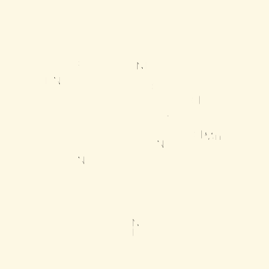 CC1CNCCN2CCN(CCNC(C)C2)C(Cl)(Cl)CN1.[Mn]